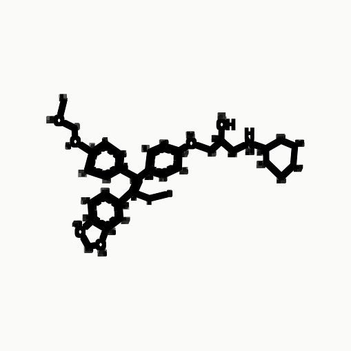 CCC(=C(c1ccc(OCOC)cc1)c1ccc(OCC(O)CNC2CCCCC2)cc1)c1ccc2c(c1)OCO2